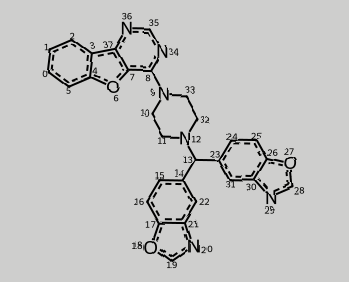 c1ccc2c(c1)oc1c(N3CCN(C(c4ccc5ocnc5c4)c4ccc5ocnc5c4)CC3)ncnc12